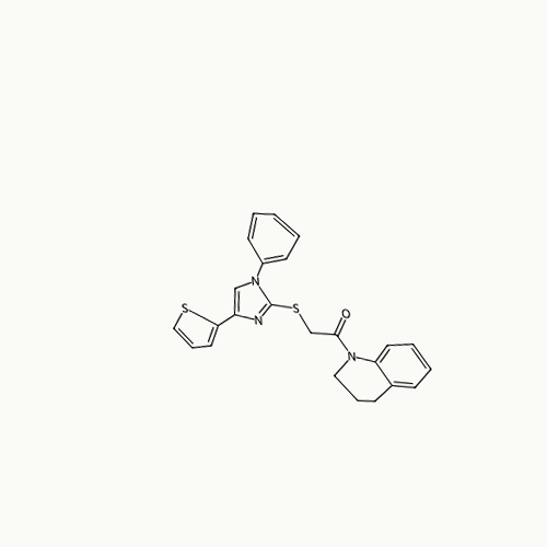 O=C(CSc1nc(-c2cccs2)cn1-c1ccccc1)N1CCCc2ccccc21